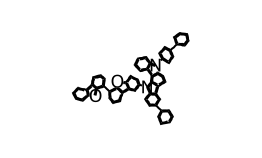 c1ccc(-c2ccc(-n3c4ccccc4c4c3ccc3c5cc(-c6ccccc6)ccc5n(-c5ccc6oc7c(-c8cccc9c8oc8ccccc89)cccc7c6c5)c34)cc2)cc1